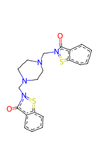 O=c1c2ccccc2sn1CN1CCN(Cn2sc3ccccc3c2=O)CC1